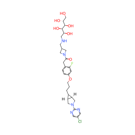 O=C(Cc1ccc(OCCCC2[C@H]3CN(c4ncc(Cl)cn4)C[C@@H]23)cc1F)N1CC(CNC[C@H](O)[C@@H](O)[C@H](O)[C@H](O)CO)C1